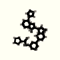 O=C(Nc1cncc(-c2ccc3[nH]nc(-c4cc5c(-c6ccsc6)cccc5[nH]4)c3n2)c1)C1CCCC1